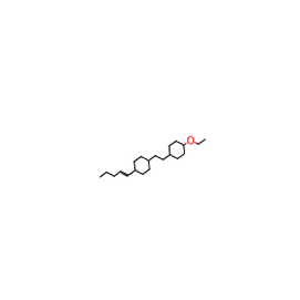 CCC/C=C/C1CCC(CCC2CCC(OCC)CC2)CC1